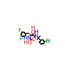 CC(C)(NC[C@@H](O)[C@H](Cc1cc(F)cc(F)c1)NC(=O)O)c1cccc(Br)c1